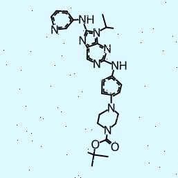 CC(C)n1c(Nc2cccnc2)nc2cnc(Nc3ccc(N4CCN(C(=O)OC(C)(C)C)CC4)cc3)nc21